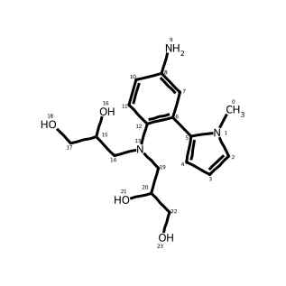 Cn1cccc1-c1cc(N)ccc1N(CC(O)CO)CC(O)CO